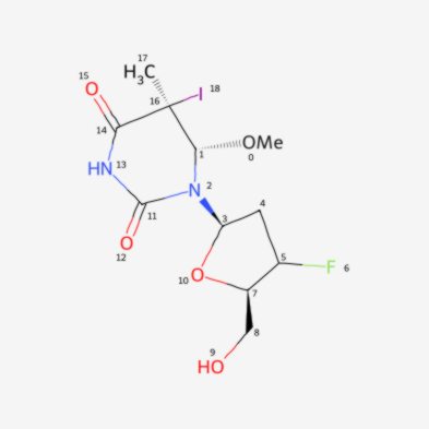 CO[C@@H]1N([C@H]2CC(F)[C@@H](CO)O2)C(=O)NC(=O)[C@@]1(C)I